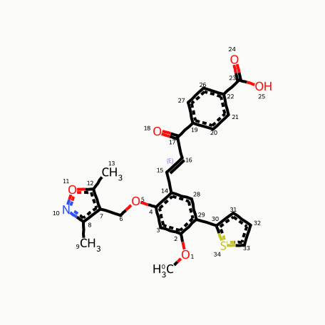 COc1cc(OCc2c(C)noc2C)c(/C=C/C(=O)c2ccc(C(=O)O)cc2)cc1-c1cccs1